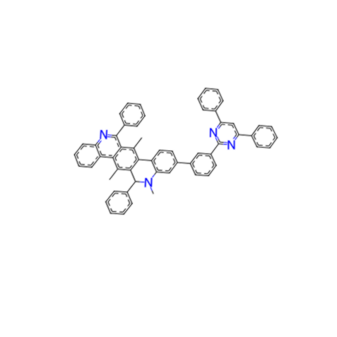 Cc1c2c(c(C)c3c1c(-c1ccccc1)nc1ccccc13)C(c1ccccc1)N(C)c1cc(-c3cccc(-c4nc(-c5ccccc5)cc(-c5ccccc5)n4)c3)ccc1-2